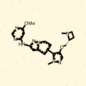 COc1cc(Nc2cc3cc(-c4c(OC[C@H]5CCN5C)cnn4C)ccn3n2)ncn1